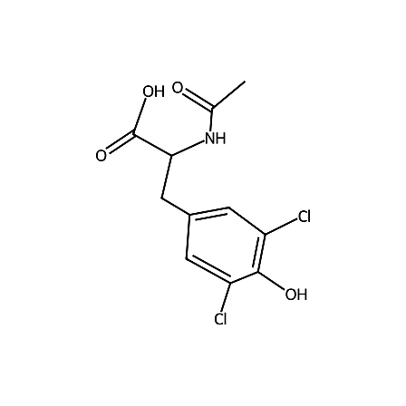 CC(=O)NC(Cc1cc(Cl)c(O)c(Cl)c1)C(=O)O